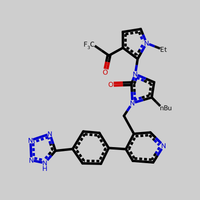 CCCCc1cn(-c2c(C(=O)C(F)(F)F)ccn2CC)c(=O)n1Cc1cnccc1-c1ccc(-c2nnn[nH]2)cc1